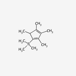 CC1=C(C)C(C)[C]([Ti]([CH3])([CH3])[CH3])=C1C